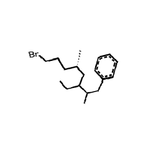 CCC(C[C@@H](C)CCCBr)C(C)Cc1ccccc1